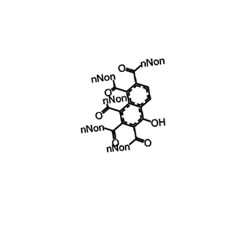 CCCCCCCCCC(=O)c1ccc2c(O)c(C(=O)CCCCCCCCC)c(C(=O)CCCCCCCCC)c(C(=O)CCCCCCCCC)c2c1C(=O)CCCCCCCCC